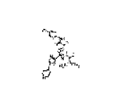 CN(C)C(=O)C(CNC(=O)C(=O)Nc1ccc(Cl)cn1)NC(=O)c1ncc(-c2ccncc2)s1